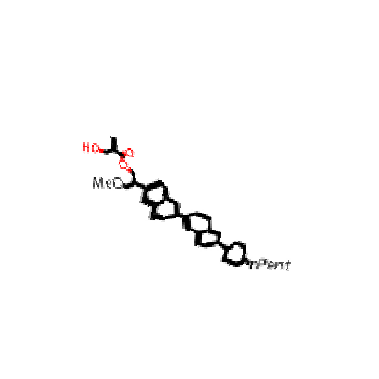 C=C(CO)C(=O)OCC(COC)c1ccc2cc(-c3ccc4cc(C5CCC(CCCCC)CC5)ccc4c3)ccc2c1